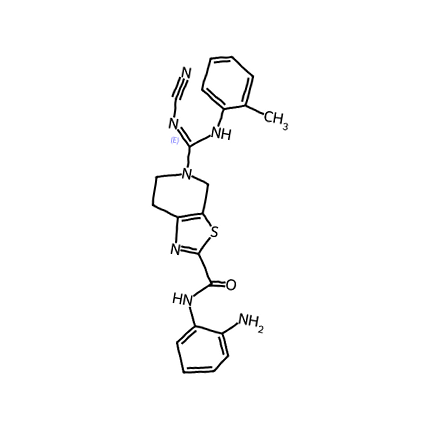 Cc1ccccc1N/C(=N\C#N)N1CCc2nc(C(=O)Nc3ccccc3N)sc2C1